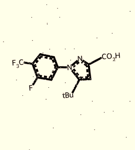 CC(C)(C)c1cc(C(=O)O)nn1-c1ccc(C(F)(F)F)c(F)c1